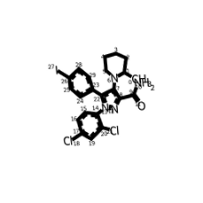 CC1CCCCN1c1c(C(N)=O)nn(-c2ccc(Cl)cc2Cl)c1-c1ccc(I)cc1